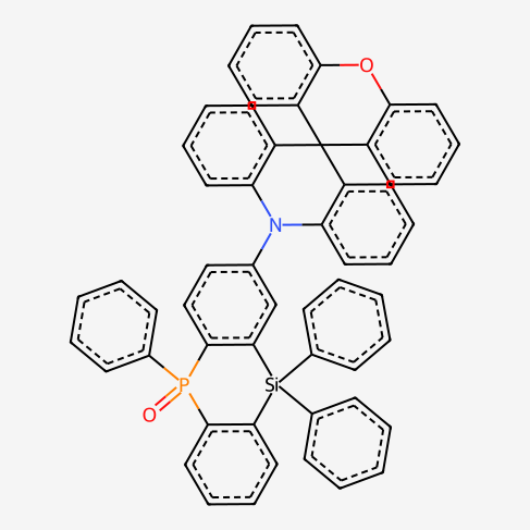 O=P1(c2ccccc2)c2ccccc2[Si](c2ccccc2)(c2ccccc2)c2cc(N3c4ccccc4C4(c5ccccc5Oc5ccccc54)c4ccccc43)ccc21